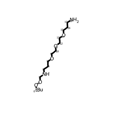 CC(C)(C)OOCNCCCOCCOCCOCCCN